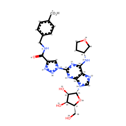 O=C(O)c1ccc(CNC(=O)c2cn(-c3nc(N[C@@H]4CCOC4)c4ncn([C@@H]5O[C@H](CO)[C@@H](O)[C@H]5O)c4n3)nn2)cc1